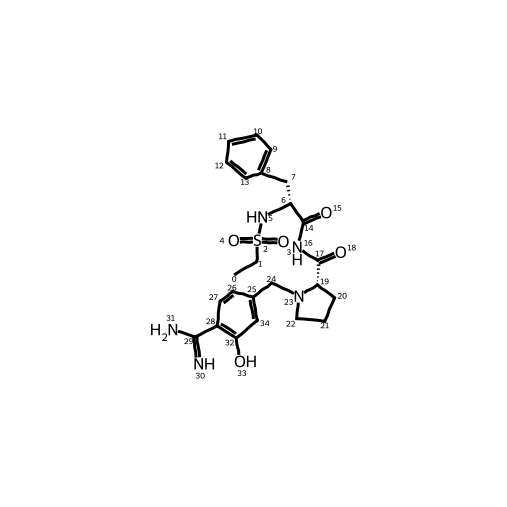 CCS(=O)(=O)N[C@H](Cc1ccccc1)C(=O)NC(=O)[C@@H]1CCCN1Cc1ccc(C(=N)N)c(O)c1